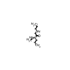 C=CCNCC(=O)N(CCC)NC